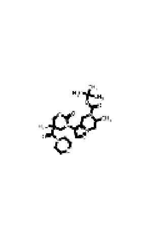 CC1Cn2ncc(N3CC(C)(C(=O)N4CCOCC4)COC3=O)c2CN1C(=O)OC(C)(C)C